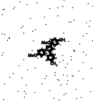 COc1ccc(-n2nc(C3(OC)CCC(O)CC3)cc2-c2ccc(C)cc2)cc1